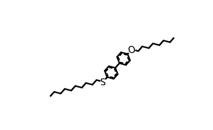 CCCCCCCCCCSc1ccc(-c2ccc(OCCCCCCCC)cc2)cc1